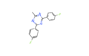 Cc1nc(-c2ccc(F)cc2)nc(-c2ccc(F)cc2)n1